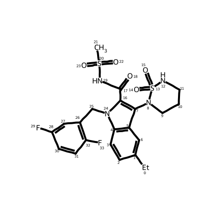 CCc1ccc2c(c1)c(N1CCCNS1(=O)=O)c(C(=O)NS(C)(=O)=O)n2Cc1cc(F)ccc1F